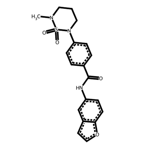 CN1CCCN(c2ccc(C(=O)Nc3ccc4occc4c3)cc2)S1(=O)=O